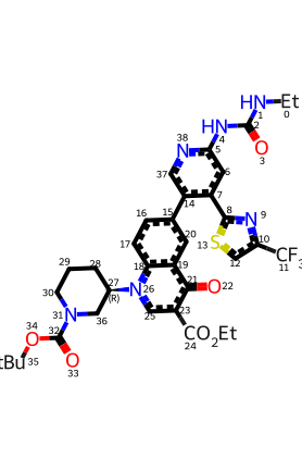 CCNC(=O)Nc1cc(-c2nc(C(F)(F)F)cs2)c(-c2ccc3c(c2)c(=O)c(C(=O)OCC)cn3[C@@H]2CCCN(C(=O)OC(C)(C)C)C2)cn1